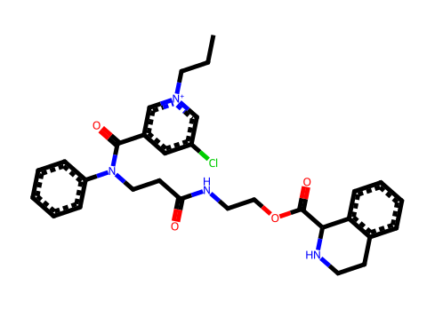 CCC[n+]1cc(Cl)cc(C(=O)N(CCC(=O)NCCOC(=O)C2NCCc3ccccc32)c2ccccc2)c1